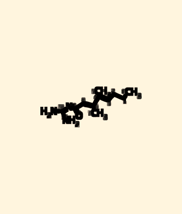 CCC/C=C(C)/C(C)=C/C(=O)N=C(N)N